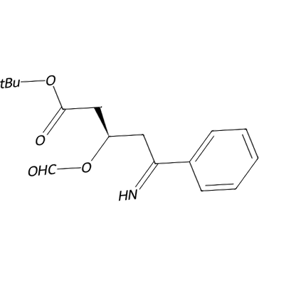 CC(C)(C)OC(=O)[CH][C@@H](CC(=N)c1ccccc1)OC=O